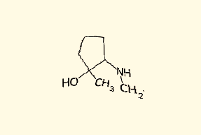 [CH2]NC1CCCC1(C)O